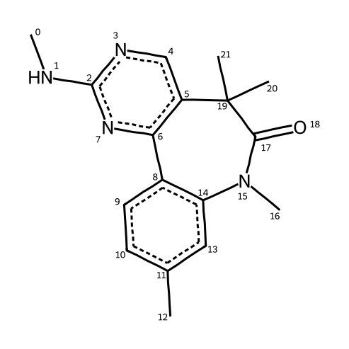 CNc1ncc2c(n1)-c1ccc(C)cc1N(C)C(=O)C2(C)C